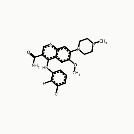 COc1cc2c(Nc3cccc(Cl)c3F)c(C(N)=O)cnc2cc1N1CCN(C)CC1